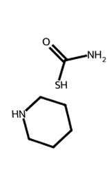 C1CCNCC1.NC(=O)S